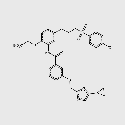 CCOC(=O)COc1ccc(CCCS(=O)(=O)c2ccc(Cl)cc2)cc1NC(=O)c1cccc(OCc2nc(C3CC3)cs2)c1